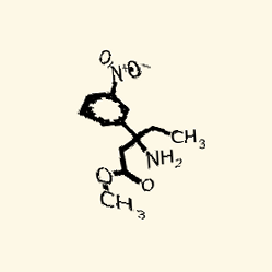 CCC(N)(CC(=O)OC)c1cccc([N+](=O)[O-])c1